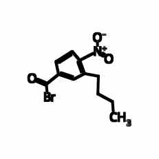 CCCCc1cc(C(=O)Br)ccc1[N+](=O)[O-]